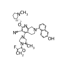 C=C(F)C(=O)N1CCN(c2c(C#N)c(OC[C@@H]3CCCN3C)nc3c2CCN(c2cccc4cc(O)ccc24)C3)C[C@H]1C